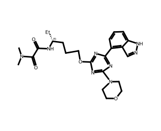 CC[C@H](CCCOc1nc(-c2cccc3[nH]ncc23)nc(N2CCOCC2)n1)NC(=O)C(=O)N(C)C